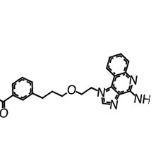 Nc1nc2ccccc2c2c1ncn2CCOCCCc1cccc(C(=O)O)c1